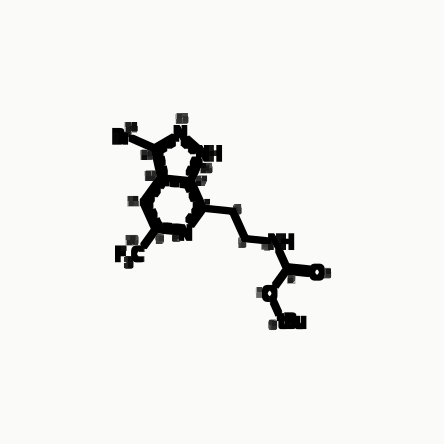 CC(C)(C)OC(=O)NCCc1nc(C(F)(F)F)cc2c(Br)n[nH]c12